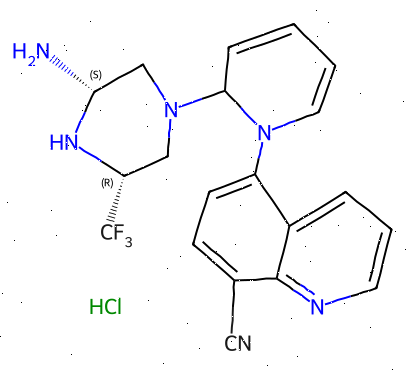 Cl.N#Cc1ccc(N2C=CC=CC2N2C[C@@H](N)N[C@@H](C(F)(F)F)C2)c2cccnc12